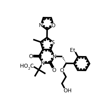 CCc1ccccc1[C@@H](Cn1c(=O)n(C(C)(C)C(=O)O)c(=O)c2c(C)c(-c3ncco3)sc21)OCCO